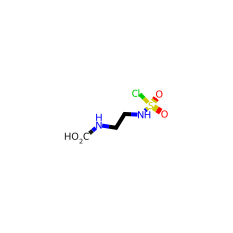 O=C(O)NCCNS(=O)(=O)Cl